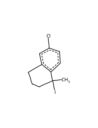 CC1(I)CCCc2cc(Cl)ccc21